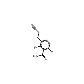 N#C[CH]Cc1ccc(F)c(C(N)=O)c1F